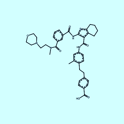 Cc1cc(NC(=O)c2c(NC(=O)c3cccc(C(=O)N(C)CCN4CCOCC4)c3)sc3c2CCCC3)ccc1CCc1ccc(C(=O)O)cc1